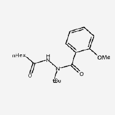 CCCCCCC(=O)NN(C(=O)c1ccccc1OC)C(C)(C)C